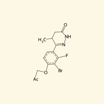 CC(=O)COc1ccc(C2=NNC(=O)CC2C)c(F)c1Br